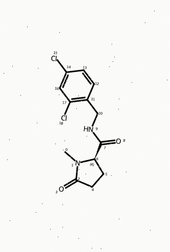 CN1C(=O)CC[C@@H]1C(=O)NCc1ccc(Cl)cc1Cl